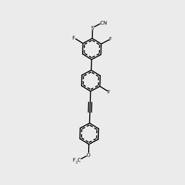 N#CSc1c(F)cc(-c2ccc(C#Cc3ccc(OC(F)(F)F)cc3)c(F)c2)cc1F